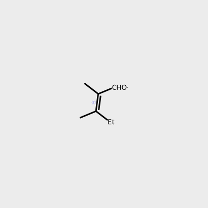 CC/C(C)=C(/C)[C]=O